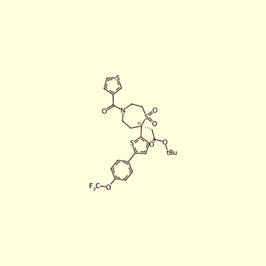 CC(C)(C)OC(=O)C[C@]1(c2ccc(-c3ccc(OC(F)(F)F)cc3)s2)CCN(C(=O)c2ccsc2)CCS1(=O)=O